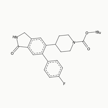 CC(C)(C)OC(=O)N1CCC(c2cc3c(cc2-c2ccc(F)cc2)C(=O)NC3)CC1